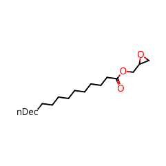 CCCCCCCCCCCCCCCCCCCC(=O)OCC1CO1